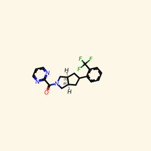 O=C(c1ncccn1)N1C[C@H]2CC(c3ccccc3C(F)(F)F)C[C@H]2C1